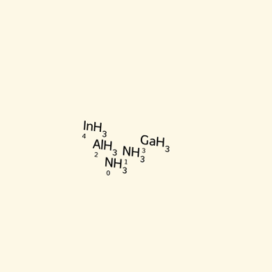 N.N.[AlH3].[GaH3].[InH3]